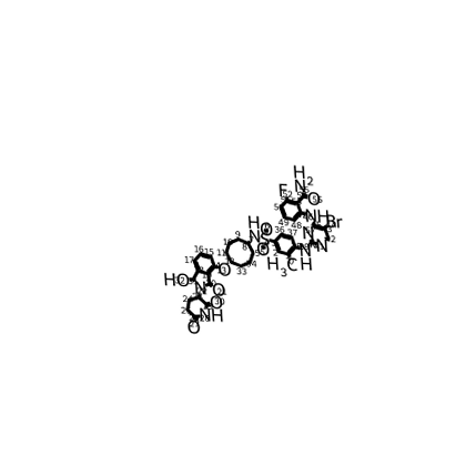 Cc1cc(S(=O)(=O)NC2CCCC(Oc3cccc4c3C(=O)N(C3CCC(=O)NC3=O)C4O)CCC2)ccc1Nc1ncc(Br)c(Nc2cccc(F)c2C(N)=O)n1